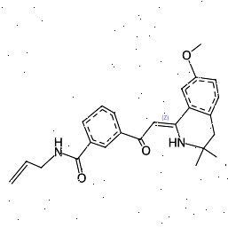 C=CCNC(=O)c1cccc(C(=O)/C=C2\NC(C)(C)Cc3ccc(OC)cc32)c1